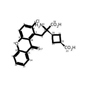 NC(Cc1c(Cl)ccc2oc3ccccc3c(=S)c12)(C(=O)O)[C@H]1C[C@@H](C(=O)O)C1